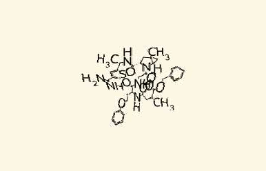 CC(CC(=O)NC(CCOc1ccccc1)C(=O)NCC(=O)N1[C@H]2C[C@@]2(C)C[C@H]1C(=O)N[C@H](C)c1cc(C(=N)N)cs1)C(=O)OCc1ccccc1